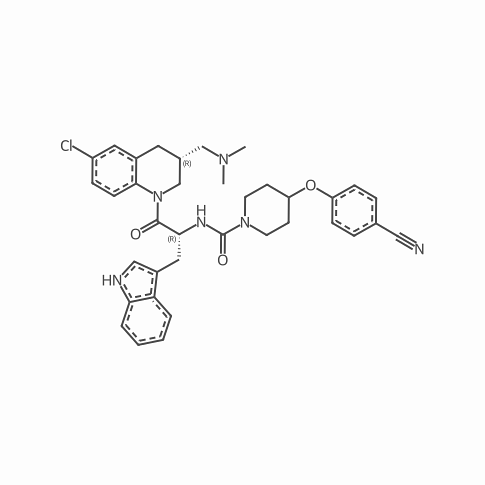 CN(C)C[C@H]1Cc2cc(Cl)ccc2N(C(=O)[C@@H](Cc2c[nH]c3ccccc23)NC(=O)N2CCC(Oc3ccc(C#N)cc3)CC2)C1